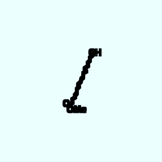 COC(=O)CCC/C=C/C/C=C/C/C=C/C/C=C/CCCCCO